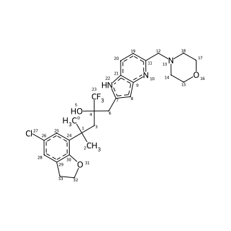 CC(C)(CC(O)(Cc1cc2nc(CN3CCOCC3)ccc2[nH]1)C(F)(F)F)c1cc(Cl)cc2c1OCC2